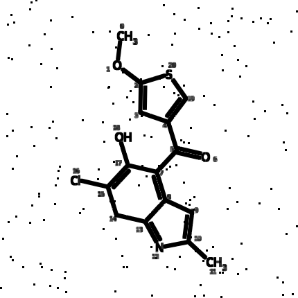 COc1cc(C(=O)C2=C3[C]=C(C)N=C3CC(Cl)=C2O)cs1